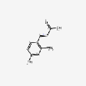 Nc1cc(O)ccc1/C=C/C(=O)O